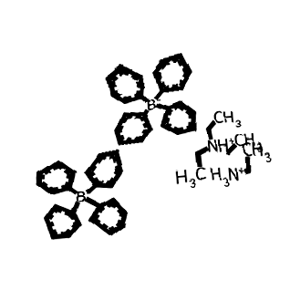 CC[NH+](CC)CC.CC[NH3+].c1ccc([B-](c2ccccc2)(c2ccccc2)c2ccccc2)cc1.c1ccc([B-](c2ccccc2)(c2ccccc2)c2ccccc2)cc1